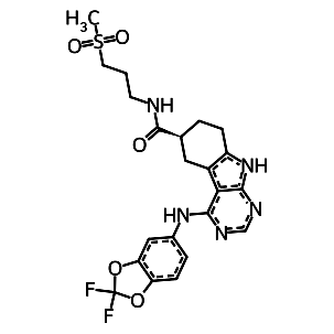 CS(=O)(=O)CCCNC(=O)[C@H]1CCc2[nH]c3ncnc(Nc4ccc5c(c4)OC(F)(F)O5)c3c2C1